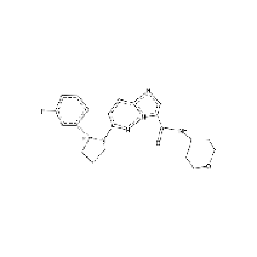 O=C(NC1CCOCC1)c1cnc2ccc(N3CCC[C@@H]3c3cccc(F)c3)nn12